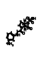 Nc1cccc(NCC(=O)N2CC[C@@H]3[C@H]2C(=O)N3S(=O)(=O)O)c1